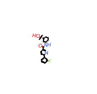 CC(C)(O)[C@@H]1CCC[C@H](NC(=O)c2ccc(-c3cccc(F)c3)nc2)C1